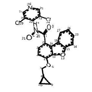 O=C(c1ccc(OCC2CC2)c2oc3ccccc3c12)[NH+]([O-])c1c(Cl)cncc1Cl